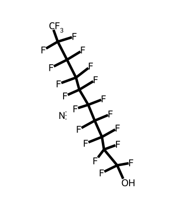 OC(F)(F)C(F)(F)C(F)(F)C(F)(F)C(F)(F)C(F)(F)C(F)(F)C(F)(F)C(F)(F)C(F)(F)F.[N]